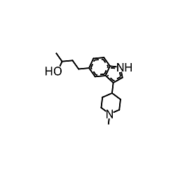 CC(O)CCc1ccc2[nH]cc(C3CCN(C)CC3)c2c1